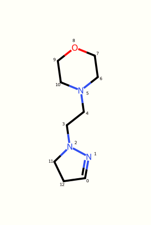 C1=NN(CCN2CCOCC2)CC1